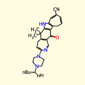 CCCCC(CCC)N1CCN(C2=CCC3=C(C=N2)C(=O)c2c([nH]c4c2CC=CC(C#N)=C4)C3(C)C)CC1